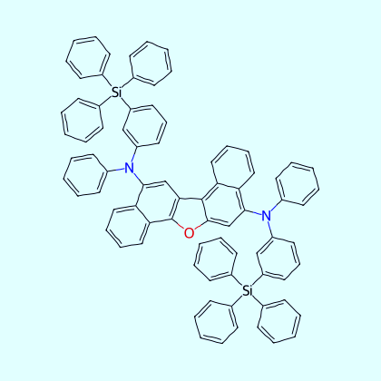 c1ccc(N(c2cccc([Si](c3ccccc3)(c3ccccc3)c3ccccc3)c2)c2cc3c(oc4cc(N(c5ccccc5)c5cccc([Si](c6ccccc6)(c6ccccc6)c6ccccc6)c5)c5ccccc5c43)c3ccccc23)cc1